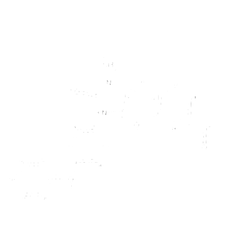 CN1C(=O)N(c2ccc(Oc3ccccc3)cc2)C(=O)C1=Cc1ccc(C=O)cc1